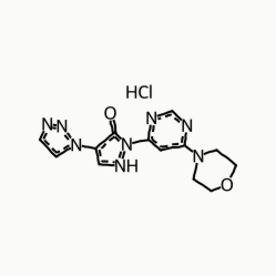 Cl.O=c1c(-n2ccnn2)c[nH]n1-c1cc(N2CCOCC2)ncn1